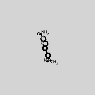 Cn1cnc2cc(-c3ccc4c(c3)CCC3(CCN(C(N)=O)CC3)O4)ccc21